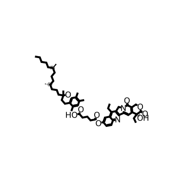 CCCCC[C@@H](C)CCC[C@@H](C)CCCC1(C)CCc2c(C)c(OC(O)CCCC(=O)Oc3ccc4nc5c(c(CC)c4c3)Cn3c-5cc4c(c3=O)COC(=O)[C@]4(O)CC)c(C)c(C)c2O1